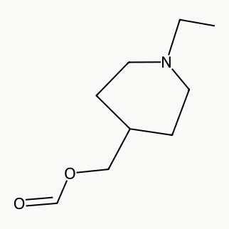 CCN1CCC(COC=O)CC1